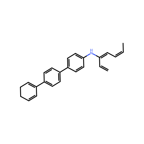 C=C/C(=C\C=C/C)Nc1ccc(-c2ccc(C3=CCCC=C3)cc2)cc1